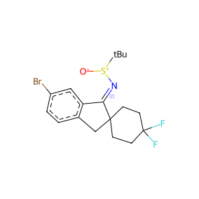 CC(C)(C)[S+]([O-])/N=C1\c2cc(Br)ccc2CC12CCC(F)(F)CC2